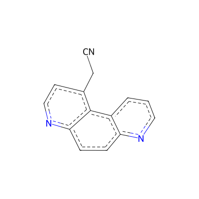 N#CCc1ccnc2ccc3ncccc3c12